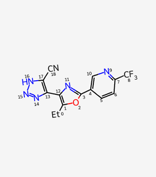 CCc1oc(-c2ccc(C(F)(F)F)nc2)nc1-c1nn[nH]c1C#N